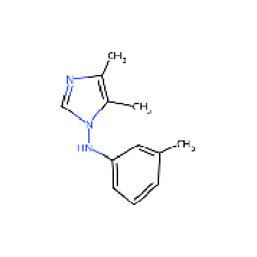 Cc1cccc(Nn2cnc(C)c2C)c1